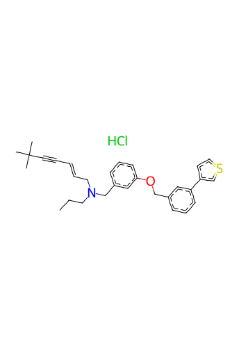 CCCN(C/C=C/C#CC(C)(C)C)Cc1cccc(OCc2cccc(-c3ccsc3)c2)c1.Cl